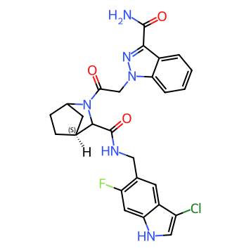 NC(=O)c1nn(CC(=O)N2C3CC[C@@H](C3)C2C(=O)NCc2cc3c(Cl)c[nH]c3cc2F)c2ccccc12